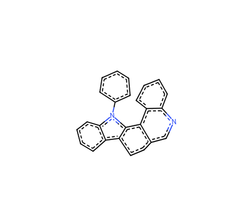 c1ccc(-n2c3ccccc3c3ccc4cnc5ccccc5c4c32)cc1